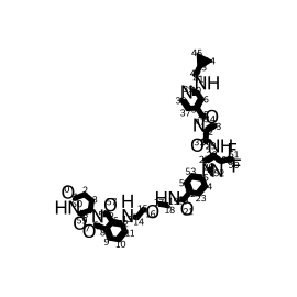 O=C1CCC(N2C(=O)c3cccc(NCCOCCNC(=O)c4ccc(-n5cc(NC(=O)c6coc(-c7ccnc(NCC8CC8)c7)n6)c(C(F)F)n5)cc4)c3C2=O)C(=O)N1